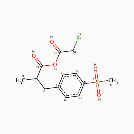 CC(Cc1ccc(S(C)(=O)=O)cc1)C(=O)OC(=O)CBr